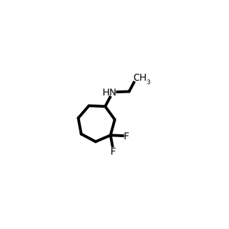 CCNC1CCCCC(F)(F)C1